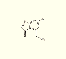 CCc1cc(Br)cc2c1C(=O)N=N2